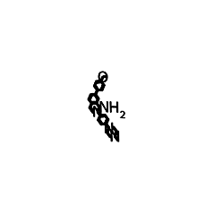 COc1ccc(-c2ccc3c(c2)C(N)N(c2ccc(N4CCN(C)CC4)cc2)C=C3)cc1